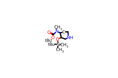 CN(C(=O)OC(C)(C)C)C1CCNCC1O[Si](C)(C)C(C)(C)C